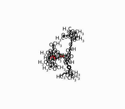 C#CCCOP(Oc1ccc(C(=O)NC(CCC(=O)N(CC(=O)NCCOCCOC2OC(COC(C)=O)C(OC(C)=O)C(OC(C)=O)C2NC(C)=O)CC(=O)NCCOCCOC2OC(COC(C)=O)C(OC(C)=O)C(OC(C)=O)C2NC(C)=O)C(=O)NCCOCCOC2OC(COC(C)=O)C(OC(C)=O)C(OC(C)=O)C2NC(C)=O)cc1)N(C(C)C)C(C)C